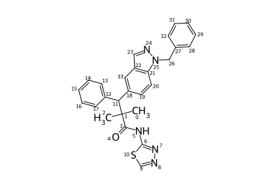 CC(C)(C(=O)Nc1nncs1)C(c1ccccc1)c1ccc2c(cnn2Cc2ccccc2)c1